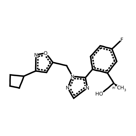 C[C@@H](O)c1cc(F)ccc1-c1ncnn1Cc1cc(C2CCC2)no1